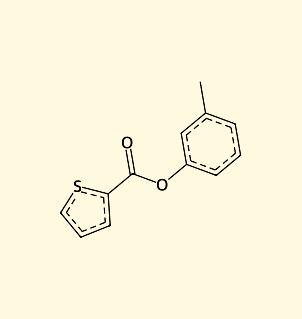 Cc1cccc(OC(=O)c2cccs2)c1